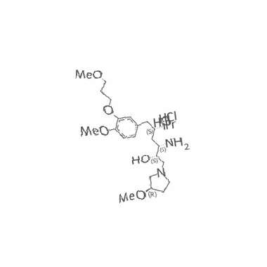 COCCCOc1cc(C[C@@H](C[C@H](N)[C@@H](O)CN2CC[C@@H](OC)C2)C(C)C)ccc1OC.Cl.Cl